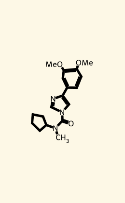 COc1ccc(-c2cn(C(=O)N(C)C3CCCC3)cn2)cc1OC